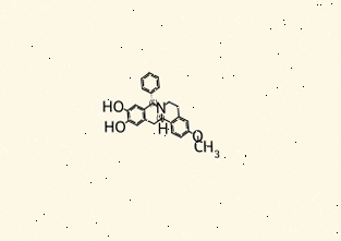 COc1ccc2c(c1)CCN1[C@@H](c3ccccc3)c3cc(O)c(O)cc3C[C@@H]21